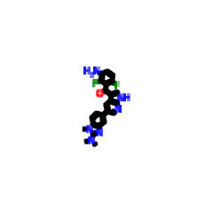 CN(C)c1nc2cc(-c3cnc4[nH]cc(C(=O)c5c(F)ccc(N)c5F)c4c3)ccc2n1C